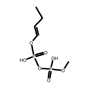 CCC=COP(=O)(O)OP(=O)(O)OC